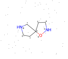 C1CC2(CCNO2)CN1